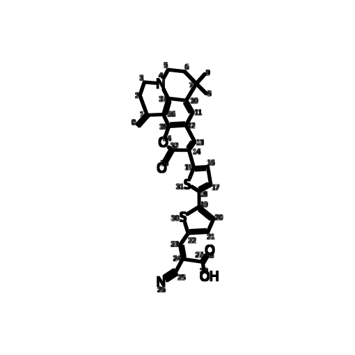 C=C1CCN2CCC(C)(C)c3cc4cc(-c5ccc(-c6ccc(/C=C(/C#N)C(=O)O)s6)s5)c(=O)oc4c1c32